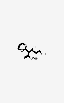 COC(=O)C(C(O)CCO)C1OCCCO1